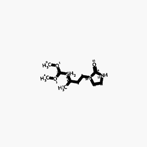 COC(OC)[SiH2]C(C)CCN1CCNC1=O